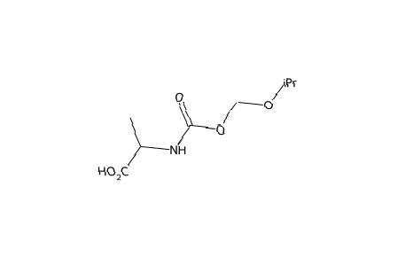 CC(C)OCOC(=O)NC(C)C(=O)O